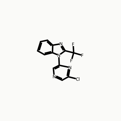 FC(F)(F)c1nc2ccccc2n1-c1cncc(Cl)n1